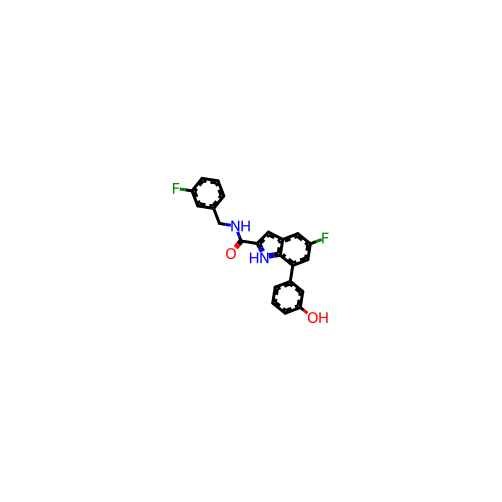 O=C(NCc1cccc(F)c1)c1cc2cc(F)cc(-c3cccc(O)c3)c2[nH]1